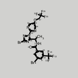 CC(NC(=O)c1cc(Br)cc(C(F)(F)F)c1)c1nc(Br)nn1-c1ncc(OCC(F)(F)F)cn1